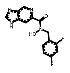 O=C(c1cc2[nH]cnc2cn1)N(O)Cc1ccc(F)cc1F